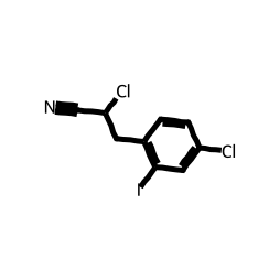 N#CC(Cl)Cc1ccc(Cl)cc1I